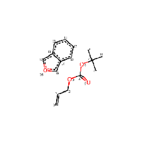 C=CCOC(=O)OC(C)(C)C.c1ccc2cocc2c1